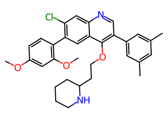 COc1ccc(-c2cc3c(OCCC4CCCCN4)c(-c4cc(C)cc(C)c4)cnc3cc2Cl)c(OC)c1